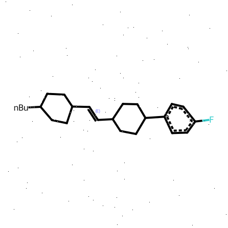 CCCCC1CCC(/C=C/C2CCC(c3ccc(F)cc3)CC2)CC1